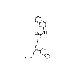 CCCN(CCCCC(=O)Nc1ccc2ccccc2c1)C1CCc2ncsc2C1